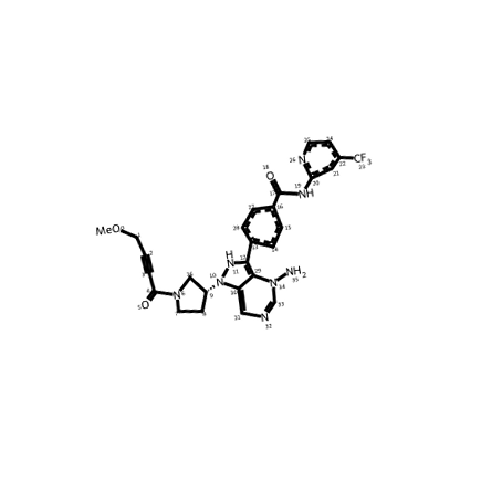 COCC#CC(=O)N1CC[C@@H](N2NC(c3ccc(C(=O)Nc4cc(C(F)(F)F)ccn4)cc3)=C3C2=CN=CN3N)C1